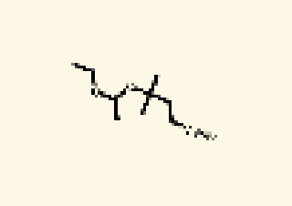 CCOC(C)OC(C)(C)C[CH2][Mg][Br]